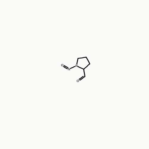 O=CC1CCCN1N=O